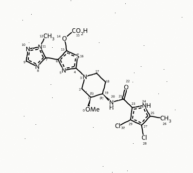 CO[C@H]1CN(c2nc(-c3ncnn3C)c(OC(=O)O)s2)CC[C@H]1NC(=O)c1[nH]c(C)c(Cl)c1Cl